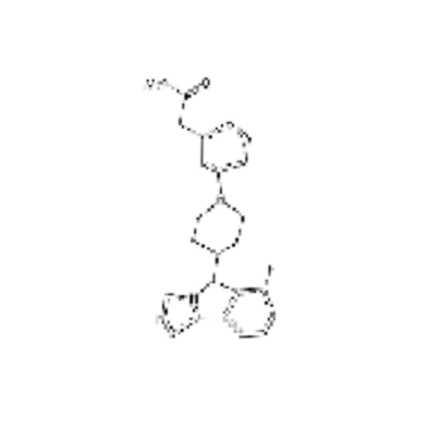 CNC(=O)Cc1cccc(N2CCC(C3c4c(F)cccc4-c4cncn43)CC2)c1